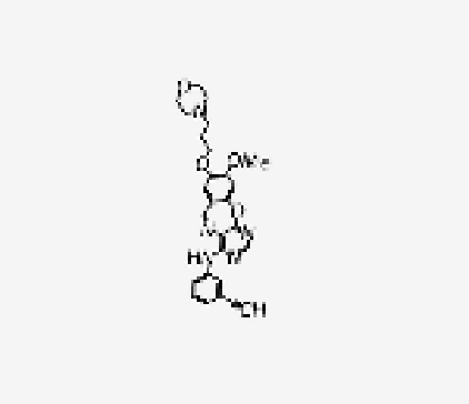 C#Cc1cccc(Nc2ncnc3c2N=Cc2cc(OCCCN4CCOCC4)c(OC)cc2O3)c1